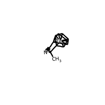 CC(=O)[C]12[CH]3[CH]4[CH]5[CH]1[Fe]45321678[CH]2[CH]1[CH]6[C]7(C#N)[CH]28